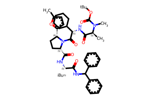 CC[C@H](C)[C@H](NC(=O)[C@@H]1CC[C@H](c2ccc(C)o2)N1C(=O)[C@@H](NC(=O)[C@H](C)N(C)C(=O)OC(C)(C)C)C1CCCCC1)C(=O)NC(c1ccccc1)c1ccccc1